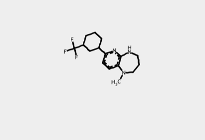 CN1CCCNc2nc(C3CCCC(C(F)(F)F)C3)ccc21